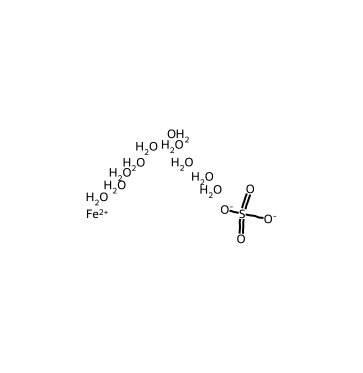 O.O.O.O.O.O.O.O.O.O.O=S(=O)([O-])[O-].[Fe+2]